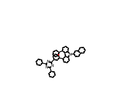 c1ccc(-c2nc(-c3ccccc3)nc(-c3cccc(-c4cccc5c4c4c(-c6ccccc6)cccc4n5-c4ccc5ccccc5c4)c3)n2)cc1